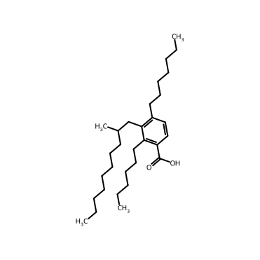 CCCCCCCCC(C)Cc1c(CCCCCCC)ccc(C(=O)O)c1CCCCCC